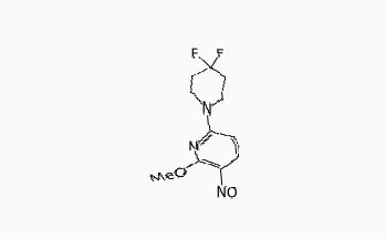 COc1nc(N2CCC(F)(F)CC2)ccc1N=O